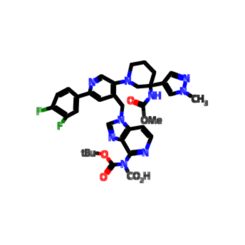 COC(=O)NC1(c2cnn(C)c2)CCCN(c2cnc(-c3ccc(F)c(F)c3)cc2Cn2cnc3c(N(C(=O)O)C(=O)OC(C)(C)C)nccc32)C1